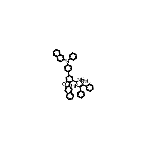 N/C(=C(\NC(N)c1cc(-c2ccc(N(c3ccccc3)c3ccc4ccccc4c3)cc2)cc2oc3cc4ccccc4cc3c12)c1ccccc1)c1ccccc1